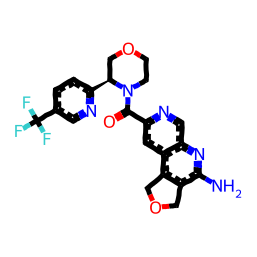 Nc1nc2cnc(C(=O)N3CCOC[C@@H]3c3ccc(C(F)(F)F)cn3)cc2c2c1COC2